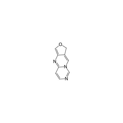 C1=CC2=NC3=COCC3=CN2C=N1